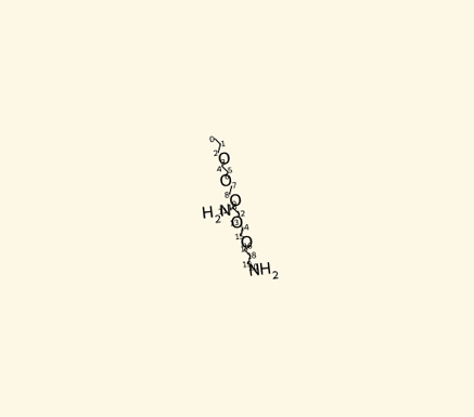 CCCOCCOCCOC(N)COCCOCCCN